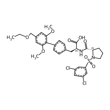 CCOCc1cc(OC)c(-c2ccc(C[C@H](NC(=O)[C@@H]3CCCN3S(=O)(=O)c3cc(Cl)cc(Cl)c3)C(=O)O)cc2)c(OC)c1